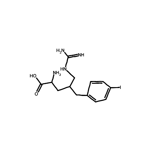 N=C(N)NCC(Cc1ccc(I)cc1)CC(N)C(=O)O